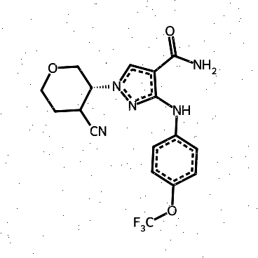 N#CC1CCOC[C@@H]1n1cc(C(N)=O)c(Nc2ccc(OC(F)(F)F)cc2)n1